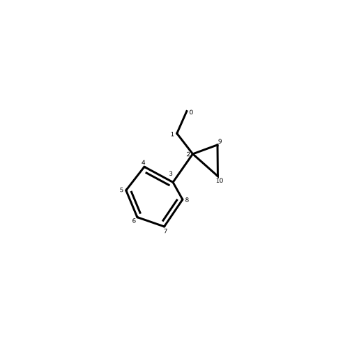 CCC1(c2ccccc2)CC1